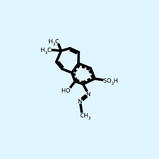 CN=Nc1c(S(=O)(=O)O)cc2c(c1O)C=CC(C)(C)C=C2